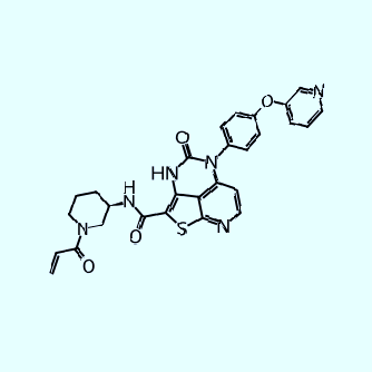 C=CC(=O)N1CCC[C@@H](NC(=O)c2sc3nccc4c3c2NC(=O)N4c2ccc(Oc3cccnc3)cc2)C1